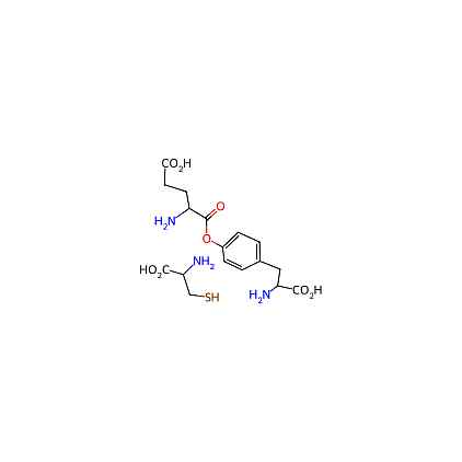 NC(CS)C(=O)O.NC(Cc1ccc(OC(=O)C(N)CCC(=O)O)cc1)C(=O)O